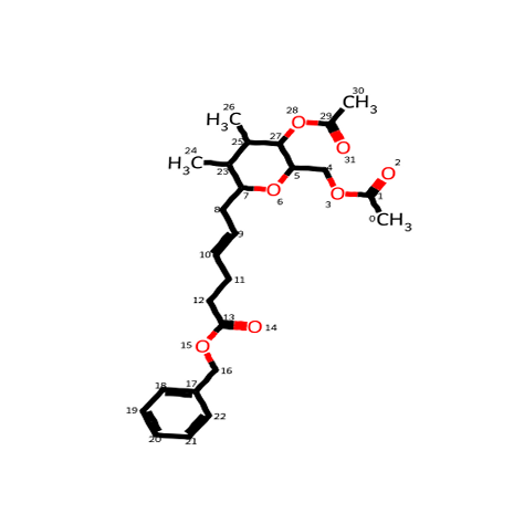 CC(=O)OCC1OC(CC=CCCC(=O)OCc2ccccc2)C(C)C(C)C1OC(C)=O